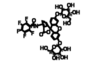 O=C1OC2(c3ccc(O[C@@H]4O[C@H](CO)[C@@H](O)[C@H](O)[C@H]4O)cc3Oc3cc(O[C@@H]4O[C@H](CO)[C@@H](O)[C@H](O)[C@H]4O)ccc32)c2cccc(NC(=O)c3c(F)c(F)c(F)c(F)c3F)c21